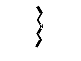 C=C/C=N/CC=C